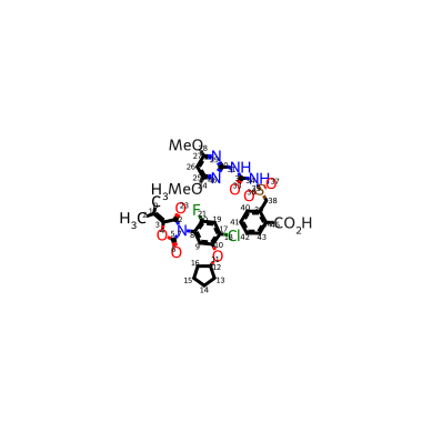 CC(C)=C1OC(=O)N(c2cc(OC3CCCC3)c(Cl)cc2F)C1=O.COc1cc(OC)nc(NC(=O)NS(=O)(=O)Cc2ccccc2C(=O)O)n1